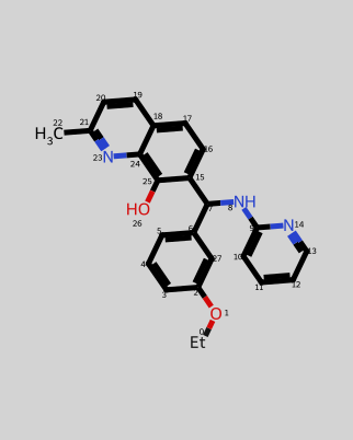 CCOc1cccc(C(Nc2ccccn2)c2ccc3ccc(C)nc3c2O)c1